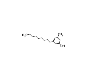 CCCCCCCCCc1cc(C)cc(O)c1